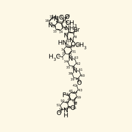 CCc1cc(Nc2ncc(Br)c(Nc3ccc4nccnc4c3P(C)(C)=O)n2)c(OC)cc1N1CCC(N2CCC(OCCc3cc(F)c(C4CCC(=O)NC4=O)c(F)c3)CC2)CC1